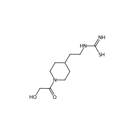 N=C(S)NCCC1CCN(C(=O)CO)CC1